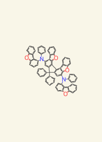 c1ccc(N(c2cc3c(c4c2oc2ccccc24)-c2c(cc(N(c4ccccc4)c4cccc5oc6ccccc6c45)c4c2oc2ccccc24)C3(c2ccccc2)c2ccccc2)c2cccc3oc4ccccc4c23)cc1